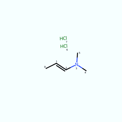 CC=CN(C)C.Cl.Cl